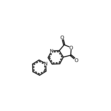 O=C1OC(=O)c2ncccc21.c1ccncc1